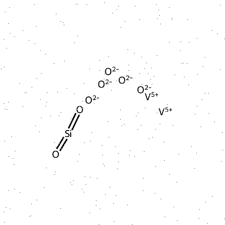 O=[Si]=O.[O-2].[O-2].[O-2].[O-2].[O-2].[V+5].[V+5]